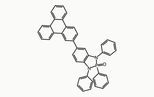 O=P1(c2ccccc2)N(c2ccccc2)c2ccc(-c3ccc4c5ccccc5c5ccccc5c4c3)cc2N1c1ccccc1